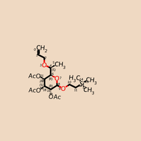 C=CCO[C@@H](C)[C@H]1OC(OCC[Si](C)(C)C)[C@H](OC(C)=O)[C@@H](OC(C)=O)[C@H]1OC(C)=O